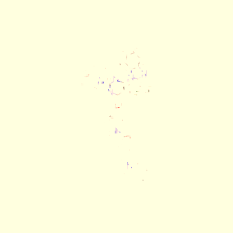 O=C(CCCN1CCCCC1)N1CC[C@H](COc2cc(-n3c(C(F)F)nc4ccccc43)nc(N3CCOCC3)n2)C1